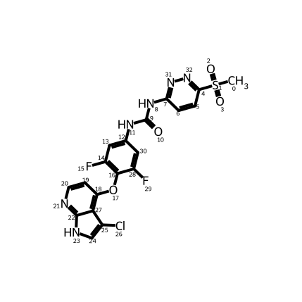 CS(=O)(=O)c1ccc(NC(=O)Nc2cc(F)c(Oc3ccnc4[nH]cc(Cl)c34)c(F)c2)nn1